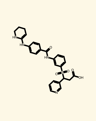 O=C(O)CC(c1cccnc1)S(=O)(=O)c1cccc(NC(=O)c2ccc(NC3=CCCCN3)cc2)c1